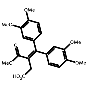 COC(=O)C(CC(=O)O)=C(c1ccc(OC)c(OC)c1)c1ccc(OC)c(OC)c1